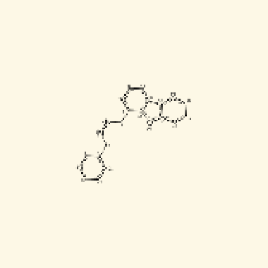 c1ccc(C/N=N\Cc2cccc3c2oc2ccccc23)cc1